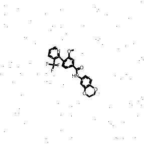 COc1cc(C(=O)Nc2ccc3c(c2)OCCO3)ccc1-c1ncccc1C(F)(F)F